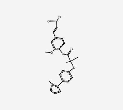 COc1cc(/C=C/C(=O)O)ccc1OC(=O)C(C)(C)Oc1ccc(-c2cccn2C)cc1